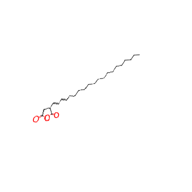 CCCCCCCCCCCCCCCCC=CC=CC1CC(=O)OC1=O